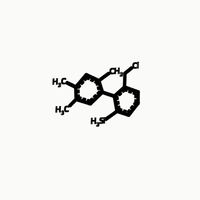 Cc1cc(C)c(-c2c([SiH3])cccc2CCl)cc1C